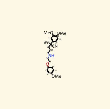 COc1ccc(OCCNCCCC(C#N)(c2ccc(OC)c(OC)c2)C(C)C)cc1